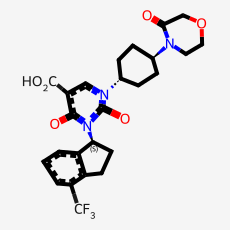 O=C(O)c1cn([C@H]2CC[C@H](N3CCOCC3=O)CC2)c(=O)n([C@H]2CCc3c2cccc3C(F)(F)F)c1=O